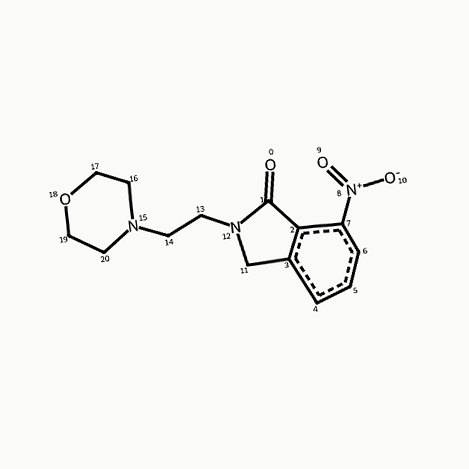 O=C1c2c(cccc2[N+](=O)[O-])CN1CCN1CCOCC1